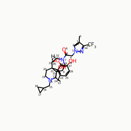 Cc1cn(CC(=O)N2CCC3(O)C(C)N(CC4CC4)CCC34c3c(C)ccc(O)c3O[C@H]4C2)nc1C(F)(F)F